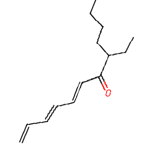 C=CC=CC=CC(=O)C(CC)CCCC